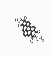 Cn1c(=O)c2ccc3c4ccc5c(=O)n(C)c(=O)c6cc7ccc8cc(c1=O)c2c3c8c7c4c56